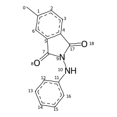 Cc1ccc2c(c1)C(=O)N(Nc1ccccc1)C2=O